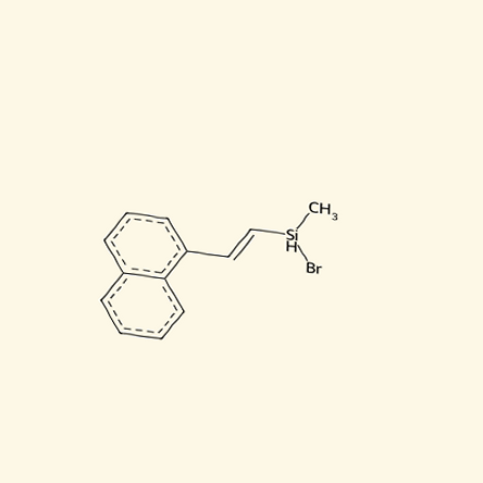 C[SiH](Br)C=Cc1cccc2ccccc12